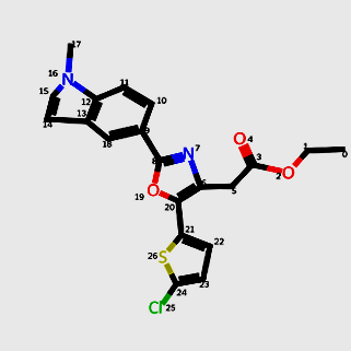 CCOC(=O)Cc1nc(-c2ccc3c(ccn3C)c2)oc1-c1ccc(Cl)s1